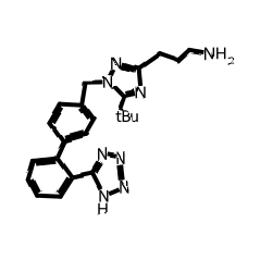 CC(C)(C)c1nc(CCCN)nn1Cc1ccc(-c2ccccc2-c2nnn[nH]2)cc1